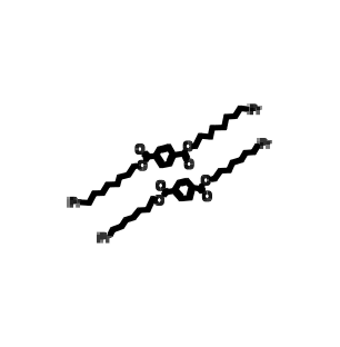 CC(C)CCCCCCCCOC(=O)c1ccc(C(=O)OCCCCCCCCC(C)C)cc1.CC(C)CCCCCCCOC(=O)c1ccc(C(=O)OCCCCCCCC(C)C)cc1